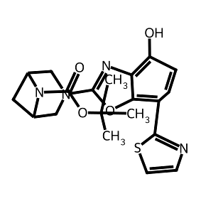 CC(C)(C)OC(=O)N1C2CC1CN(c1nc3c(O)ccc(-c4nccs4)c3o1)C2